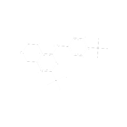 CC(C)(C)c1ccc(Nc2nc(C(C)(C)C)nc3c2CCNC3)cc1